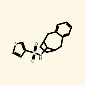 O=S(=O)(NC1C2CCC1Cc1ccccc1C2)c1ccsc1